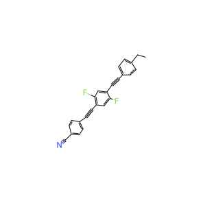 CCc1ccc(C#Cc2cc(F)c(C#Cc3ccc(C#N)cc3)cc2F)cc1